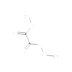 CCOOC(=O)C(=O)OCC